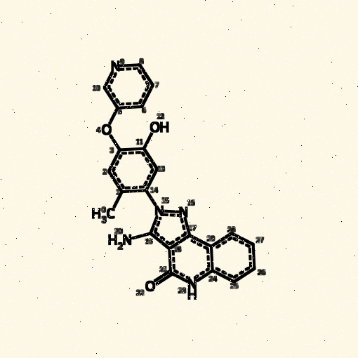 Cc1cc(Oc2cccnc2)c(O)cc1-n1nc2c(c1N)c(=O)[nH]c1ccccc12